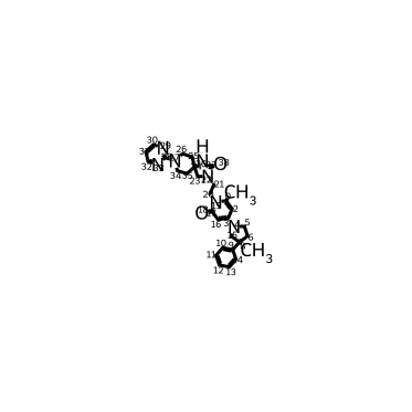 Cc1cc(N2CCC(C)(c3ccccc3)C2)cc(=O)n1CCN1CC2(CCN(c3ncccn3)CC2)NC1=O